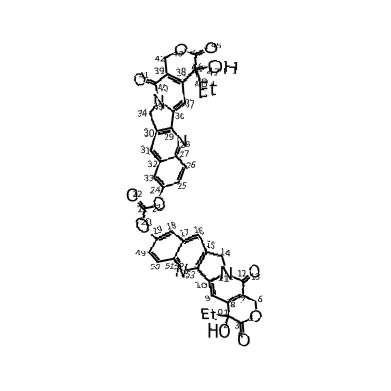 CCC1(O)C(=O)OCc2c1cc1n(c2=O)Cc2cc3cc(OC(=O)Oc4ccc5nc6c(cc5c4)Cn4c-6cc5c(c4=O)COC(=O)C5(O)CC)ccc3nc2-1